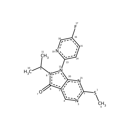 CSc1ncc2c(=O)n(C(C)C)n(-c3ccc(F)cn3)c2n1